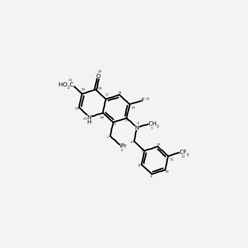 CC(C)Cc1c(N(C)Cc2cccc(C(F)(F)F)c2)c(F)cc2c(=O)c(C(=O)O)c[nH]c12